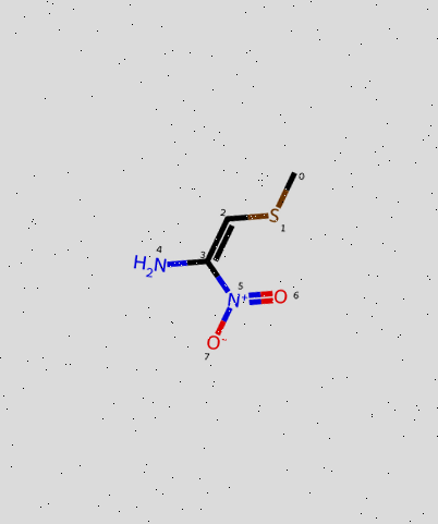 CSC=C(N)[N+](=O)[O-]